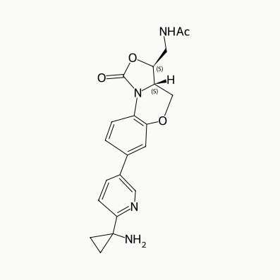 CC(=O)NC[C@@H]1OC(=O)N2c3ccc(-c4ccc(C5(N)CC5)nc4)cc3OC[C@@H]12